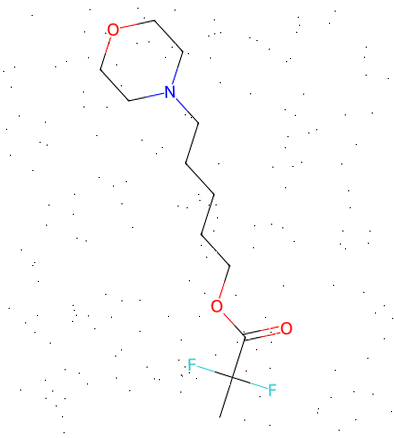 CC(F)(F)C(=O)OCCCCCN1CCOCC1